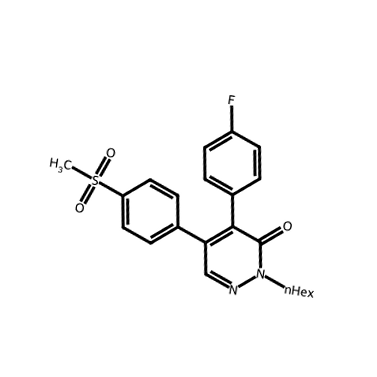 CCCCCCn1ncc(-c2ccc(S(C)(=O)=O)cc2)c(-c2ccc(F)cc2)c1=O